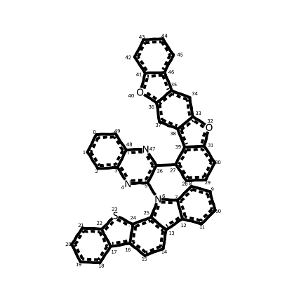 c1ccc2nc(-n3c4ccccc4c4ccc5c6ccccc6sc5c43)c(-c3cccc4oc5cc6c(cc5c34)oc3ccccc36)nc2c1